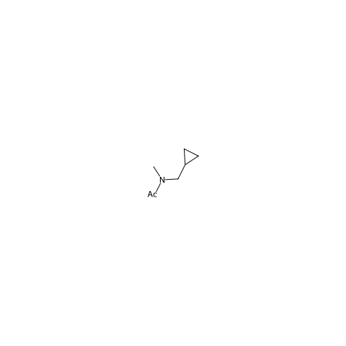 CC(=O)N(C)CC1CC1